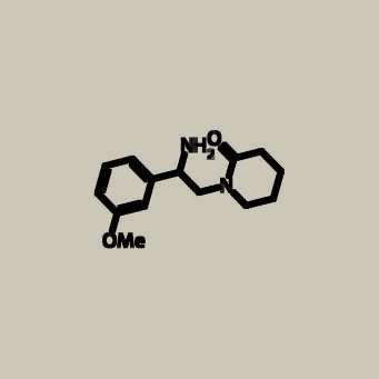 COc1cccc(C(N)CN2CCCCC2=O)c1